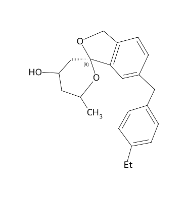 CCc1ccc(Cc2ccc3c(c2)[C@]2(CC(O)CC(C)O2)OC3)cc1